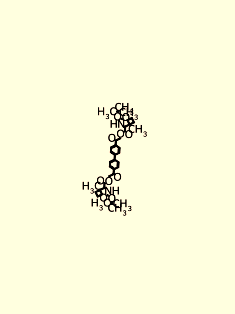 CC(C)(C)OC(=O)NC(C(=O)OCC(=O)c1ccc(-c2ccc(C(=O)COC(=O)[C@@H](NC(=O)OC(C)(C)C)C3(C)CCC3)cc2)cc1)C1(C)CCC1